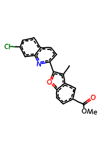 COC(=O)c1ccc2oc(-c3ccc4ccc(Cl)cc4n3)c(C)c2c1